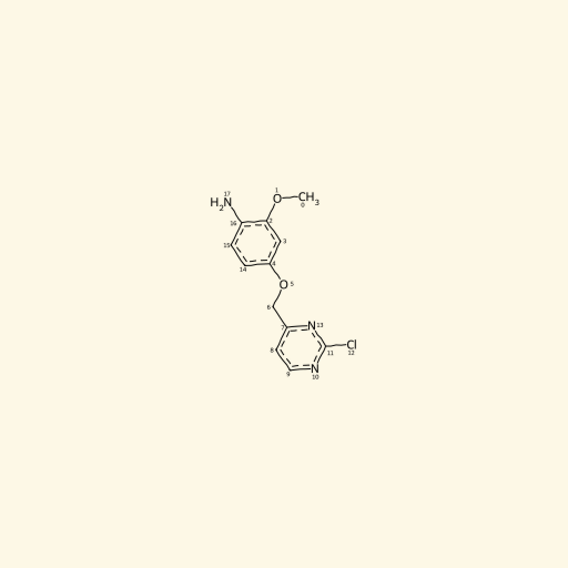 COc1cc(OCc2ccnc(Cl)n2)ccc1N